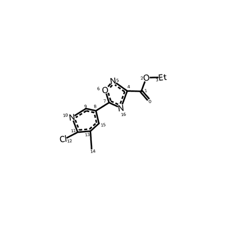 C=C(OCC)c1noc(-c2cnc(Cl)c(C)c2)n1